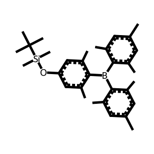 Cc1cc(C)c(B(c2c(C)cc(C)cc2C)c2c(C)cc(O[Si](C)(C)C(C)(C)C)cc2C)c(C)c1